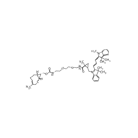 C/C1=C\CC[C@H]2[C@@H](CC1)[C@H]2COC(=O)NCCOCCOCCNC(=O)C1(C)CC1C[N+]1=C(/C=C/C=C2/N(C)c3ccccc3C2(C)C)C(C)(C)c2ccccc21